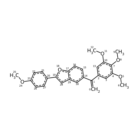 C=C(c1cc(OC)c(OC)c(OC)c1)c1ccc2oc(-c3ccc(OC)cc3)cc2c1